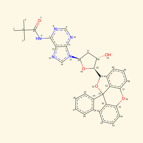 CC(C)(C)C(=O)Nc1ncnc2c1ncn2[C@H]1C[C@H](O)[C@@H](COC2(c3ccccc3)c3ccccc3Oc3ccccc32)O1